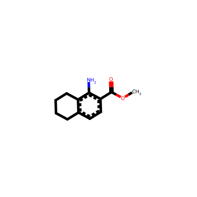 COC(=O)c1ccc2c(c1N)CCCC2